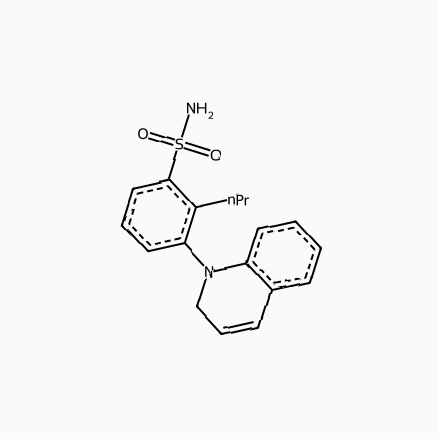 CCCc1c(N2CC=Cc3ccccc32)cccc1S(N)(=O)=O